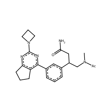 CC(=O)N(C)CC(CC(N)=O)c1cccc(-c2nc(N3CCC3)nc3c2CCC3)c1